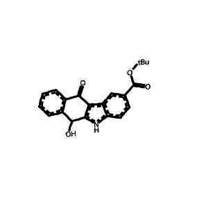 CC(C)(C)OC(=O)c1ccc2[nH]c3c(c2c1)C(=O)c1ccccc1C3O